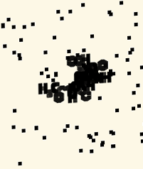 CC(CCC[PH](=O)OC(CC1CCCCC1)NC(=O)[C@H](Cc1c[nH]cn1)NC(=O)C(Cc1cccc2ccccc12)NC(=O)OCc1ccccc1)c1ccccc1